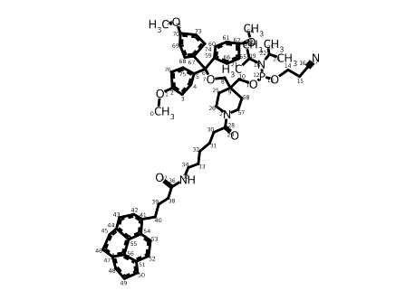 COc1ccc(C(OCC2(COP(OCCC#N)N(C(C)C)C(C)C)CCN(C(=O)CCCCCNC(=O)CCCc3ccc4ccc5cccc6ccc3c4c56)CC2)(c2ccc(OC)cc2)c2ccc(OC)cc2)cc1